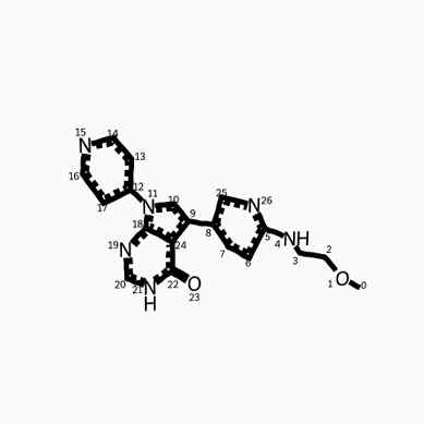 COCCNc1ccc(-c2cn(-c3ccncc3)c3nc[nH]c(=O)c23)cn1